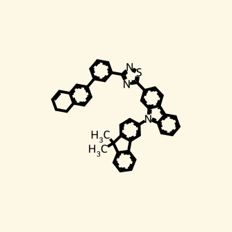 CC1(C)c2ccccc2-c2cc(-n3c4ccccc4c4ccc(-c5nc(-c6cccc(-c7ccc8c(c7)C=CCC8)c6)ns5)cc43)ccc21